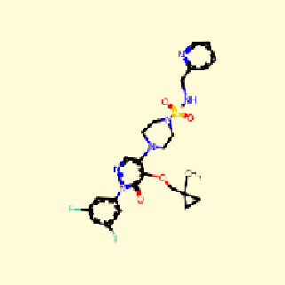 CC1(COc2c(N3CCN(S(=O)(=O)NCc4ccccn4)CC3)cnn(-c3cc(F)cc(F)c3)c2=O)CC1